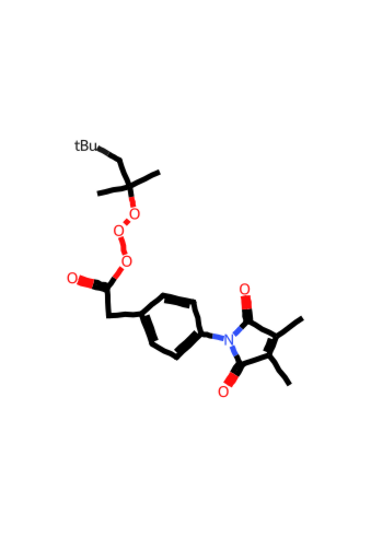 CC1=C(C)C(=O)N(c2ccc(CC(=O)OOOC(C)(C)CC(C)(C)C)cc2)C1=O